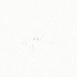 O=C([O-])C1CCC[NH+]1[O-].[Na+]